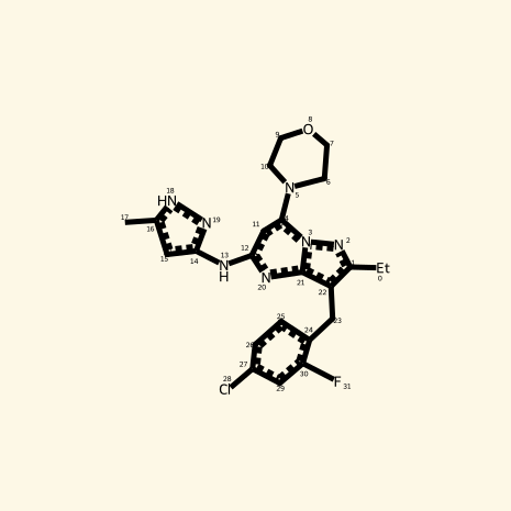 CCc1nn2c(N3CCOCC3)cc(Nc3cc(C)[nH]n3)nc2c1Cc1ccc(Cl)cc1F